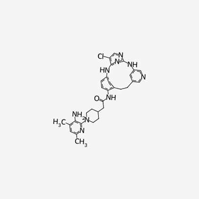 Cc1cc(C)c(N)c(N2CCC(CC(=O)Nc3ccc4cc3CCc3cncc(c3)Nc3ncc(Cl)c(n3)N4)CC2)n1